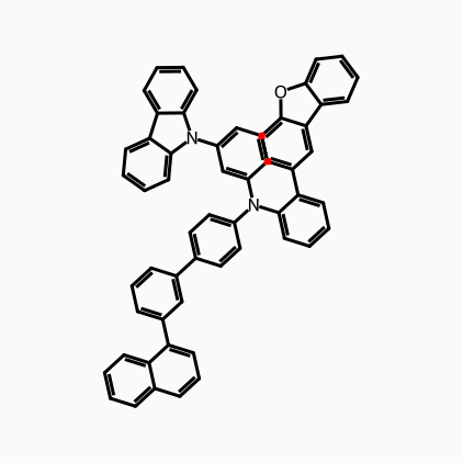 c1cc(-c2ccc(N(c3cccc(-n4c5ccccc5c5ccccc54)c3)c3ccccc3-c3ccc4oc5ccccc5c4c3)cc2)cc(-c2cccc3ccccc23)c1